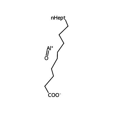 CCCCCCCCCCCCCCCC(=O)[O-].[O]=[Al+]